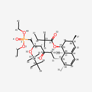 CCOP(=O)(C[C@@H](CC(=O)CC[C@@H]1[C@@H]2C(=C[C@H](C)C[C@@H]2OC(=O)C(C)(C)CC)C=C[C@@H]1C)O[Si](C)(C)C(C)(C)C)OCC